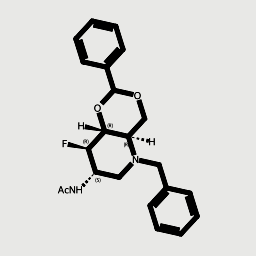 CC(=O)N[C@H]1CN(Cc2ccccc2)[C@@H]2COC(c3ccccc3)O[C@H]2[C@@H]1F